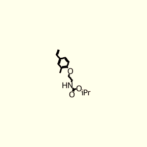 C=Cc1ccc(OCCNC(=O)OC(C)C)c(C)c1